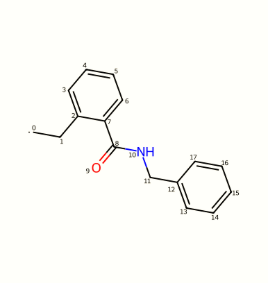 [CH2]Cc1ccccc1C(=O)NCc1ccccc1